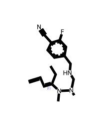 C=C/C=C(\CC)N(C)N(C)CNCc1ccc(C#N)c(F)c1